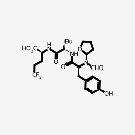 CC[C@H](C)[C@H](NC(=O)[C@H](Cc1ccc(O)cc1)N(C=O)[C@@H]1CCCO1)C(=O)N[C@@H](CCC(F)(F)F)C(=O)O